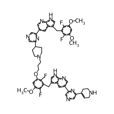 COc1cc(OC)c(F)c(Cc2c[nH]c3ncc(-c4cncc(C5CCN(CCCOc6cc(OC)c(F)c(Cc7c[nH]c8ncc(-c9cncc(C%10=CCNCC%10)n9)cc78)c6F)CC5)n4)cc23)c1F